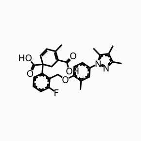 CC1=C(C(=O)O)CC(C(=O)O)(c2cccc(F)c2COc2ccc(-n3nc(C)c(C)c3C)cc2C)C=C1